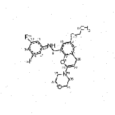 CCOc1cc2c(c(CNc3cc(F)cc(F)c3)c1)OC(N1CCOCC1)=CC2